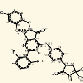 COc1ccc(CN2Cc3nc(-c4c(F)cccc4F)nc(Nc4ccc(C5CC(C)(C)NC5=O)cc4)c3C2=O)c(OC)c1